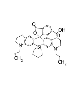 C=CCN1CCCc2cc3c(cc21)[Si]1(CCCCC1)c1cc2c(cc1C31OC(=O)c3ccc(C(=O)O)cc31)CCCN2CC=C